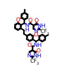 Cc1ccc2c(c1)Oc1cc(CCc3cccc4c3C(NC(=O)c3cnc(C(F)(F)F)[nH]c3=O)c3ccc(C)cc3O4)ccc1C2NC(=O)c1cnc(C(F)(F)F)[nH]c1=O